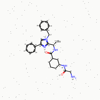 CC(C)(C)[C@@H](NC(=O)C1CCCC(NC(=O)CN)C1)c1nc(-c2ccccc2)cn1Cc1ccccc1